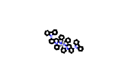 c1ccc([Si]2(c3ccccc3)N(c3ccc4c(-n5c6ccccc6c6ccccc65)cccc4n3)[Si](c3ccccc3)(c3ccccc3)N2c2ccc3c(-n4c5ccccc5c5ccccc54)cccc3n2)cc1